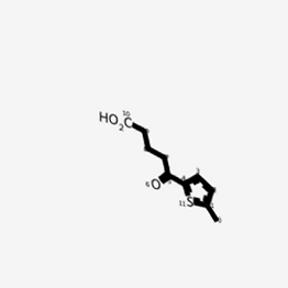 Cc1ccc(C(=O)CCCC(=O)O)s1